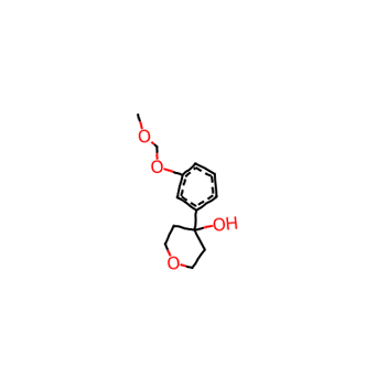 COCOc1cccc(C2(O)CCOCC2)c1